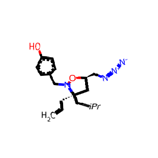 C=CC[C@@]1(CC(C)C)C[C@H](CN=[N+]=[N-])ON1Cc1ccc(O)cc1